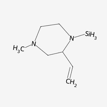 C=CC1CN(C)CCN1[SiH3]